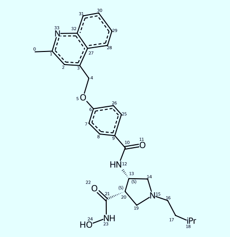 Cc1cc(COc2ccc(C(=O)N[C@@H]3CN(CCC(C)C)C[C@@H]3C(=O)NO)cc2)c2ccccc2n1